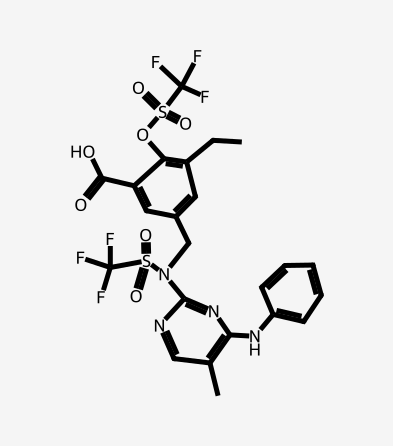 CCc1cc(CN(c2ncc(C)c(Nc3ccccc3)n2)S(=O)(=O)C(F)(F)F)cc(C(=O)O)c1OS(=O)(=O)C(F)(F)F